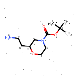 CC(C)(C)OC(=O)N1CCO[C@@H](CCN)C1